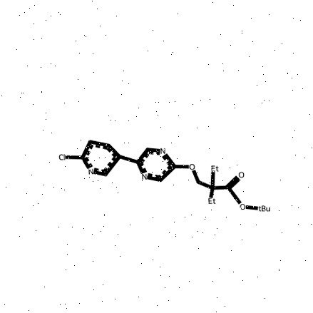 CCC(CC)(COc1cnc(-c2ccc(Cl)nc2)cn1)C(=O)OC(C)(C)C